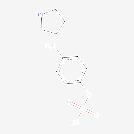 C1CCNC1.Nc1ccc(OS(=O)(=O)O)cc1